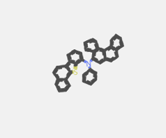 c1ccc(N(c2cc3ccc4ccccc4c3c3ccccc23)c2cccc3c2sc2c4ccccc4ccc32)cc1